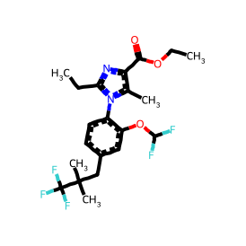 CCOC(=O)c1nc(CC)n(-c2ccc(CC(C)(C)C(F)(F)F)cc2OC(F)F)c1C